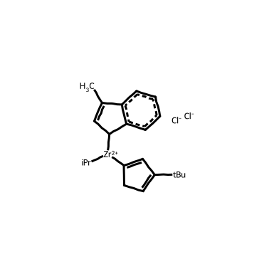 CC1=C[CH]([Zr+2]([C]2=CC(C(C)(C)C)=CC2)[CH](C)C)c2ccccc21.[Cl-].[Cl-]